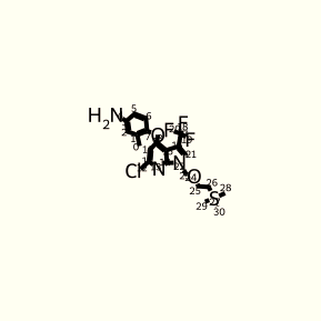 Cc1cc(N)ccc1Oc1cc(Cl)nc2c1c(C(F)(F)F)cn2COCCS(C)(C)C